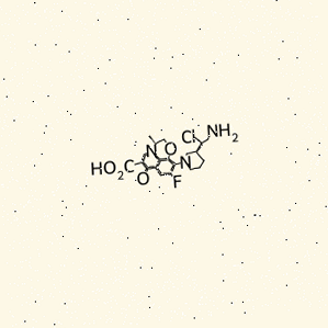 C[C@H]1COc2c(N3CCC/C(=C(/Cl)CN)C3)c(F)cc3c(=O)c(C(=O)O)cn1c23